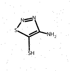 Nc1nnsc1S